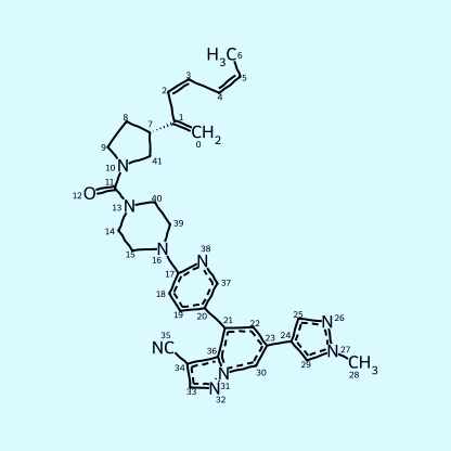 C=C(/C=C\C=C/C)[C@H]1CCN(C(=O)N2CCN(c3ccc(-c4cc(-c5cnn(C)c5)cn5ncc(C#N)c45)cn3)CC2)C1